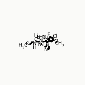 COCCN[C@H](C)c1nnc(-c2c(-n3ccnc3)c3cc(OC)c(Cl)c(F)c3n2C)[nH]1